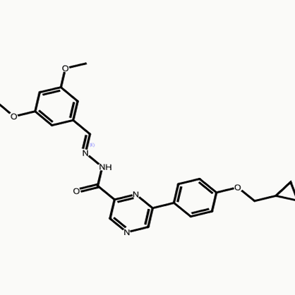 COc1cc(/C=N/NC(=O)c2cncc(-c3ccc(OCC4CC4)cc3)n2)cc(OC)c1